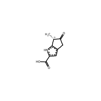 C[C@@H]1C(=O)Cc2cc(C(=O)O)[nH]c21